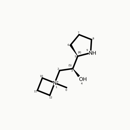 C[N+]1(C[C@H](O)[C@H]2CCCN2)CCC1